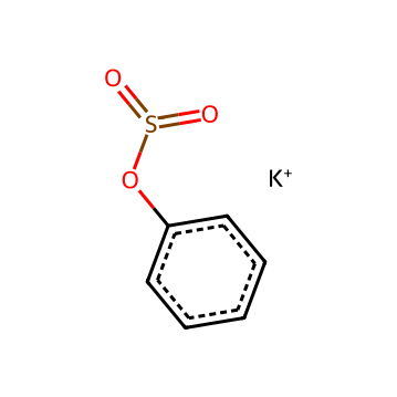 O=[S-](=O)Oc1ccccc1.[K+]